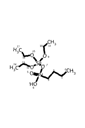 CCCCP(=O)(O)O[Si](OCC)(OCC)OCC